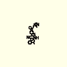 Cc1nccn1CCC(=O)N1CCc2c(sc(NC(=O)CC(C)c3ccccc3)c2C#N)C1